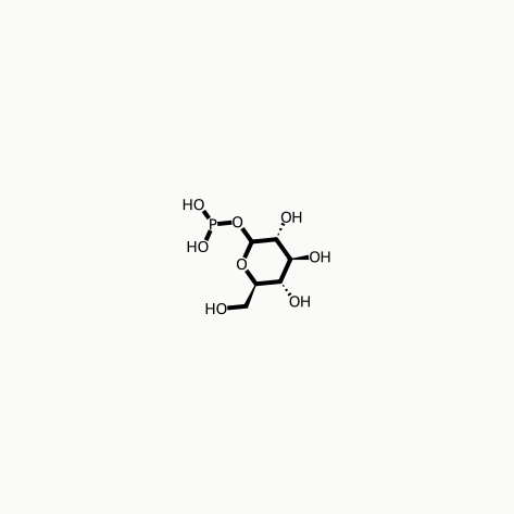 OC[C@H]1OC(OP(O)O)[C@H](O)[C@@H](O)[C@@H]1O